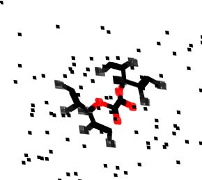 CCC=C(CC)[SiH](OC(=O)C(=O)O[SiH](C(=CCC)CC)C(=CCC)CC)C(=CCC)CC